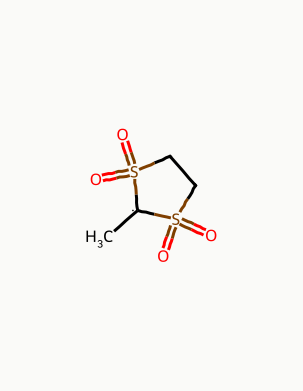 C[C]1S(=O)(=O)CCS1(=O)=O